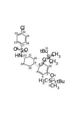 CC(C)(C)[Si](C)(C)Oc1ccc([C@H]2CC[C@@H](NS(=O)(=O)c3ccc(Cl)cc3)CC2)c(O[Si](C)(C)C(C)(C)C)c1